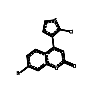 O=c1cc(-c2ccsc2Cl)c2ccc(Br)cc2o1